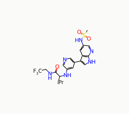 CC(C)C(Nc1cncc(-c2c[nH]c3ncc(NS(C)(=O)=O)cc23)c1)C(=O)NCC(F)(F)F